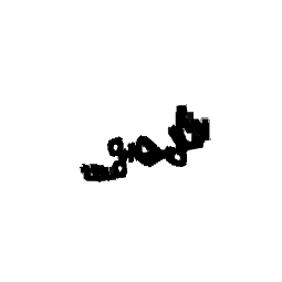 Cn1cc(OC2CN(C(=O)OC(C)(C)C)C2)cn1